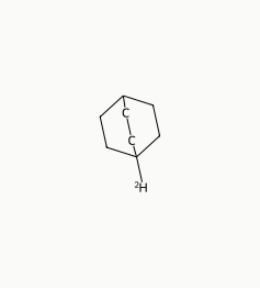 [2H]C12CCC(CC1)CC2